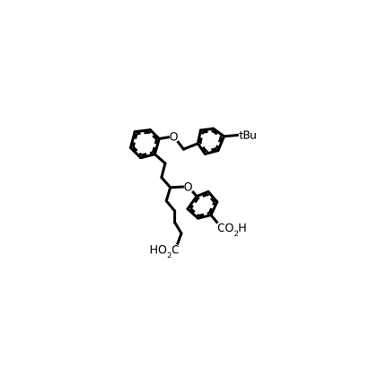 CC(C)(C)c1ccc(COc2ccccc2CCC(CCCCC(=O)O)Oc2ccc(C(=O)O)cc2)cc1